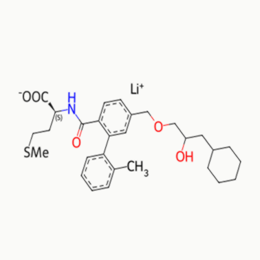 CSCC[C@H](NC(=O)c1ccc(COCC(O)CC2CCCCC2)cc1-c1ccccc1C)C(=O)[O-].[Li+]